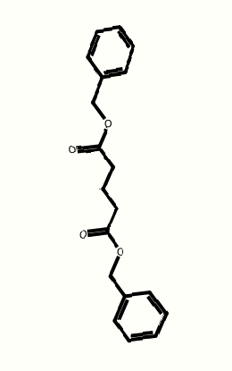 O=C(C[CH]CC(=O)OCc1ccccc1)OCc1ccccc1